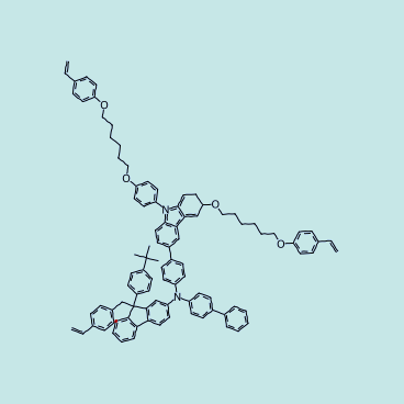 C=Cc1ccc(CC2(c3ccc(C(C)(C)C)cc3)c3ccccc3-c3ccc(N(c4ccc(-c5ccccc5)cc4)c4ccc(-c5ccc6c(c5)c5c(n6-c6ccc(OCCCCCCOc7ccc(C=C)cc7)cc6)=CCC(OCCCCCCOc6ccc(C=C)cc6)C=5)cc4)cc32)cc1